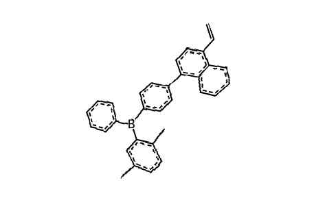 C=Cc1ccc(-c2ccc(B(c3ccccc3)c3cc(C)ccc3C)cc2)c2ccccc12